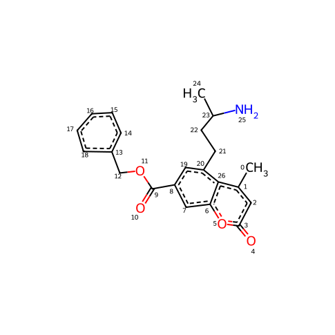 Cc1cc(=O)oc2cc(C(=O)OCc3ccccc3)cc(CCC(C)N)c12